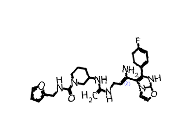 C=C(NC/C=C(\N)C1=C(C2=CC=C(F)CC2)NC2OC=CN12)NC1CCCN(C(=O)NCc2ccco2)C1